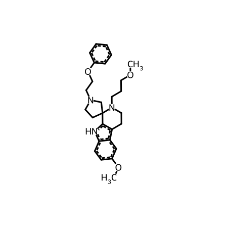 COCCCN1CCc2c([nH]c3ccc(OC)cc23)C12CCN(CCOc1ccccc1)C2